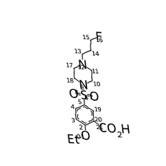 CCOc1ccc(S(=O)(=O)N2CCN(CCCF)CC2)cc1C(=O)O